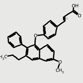 CCCc1cc2cc(OC)ccc2c(Oc2ccc(/C=C/C(=O)O)cc2)c1-c1ccccc1